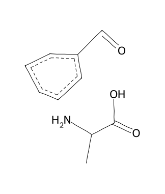 CC(N)C(=O)O.O=Cc1ccccc1